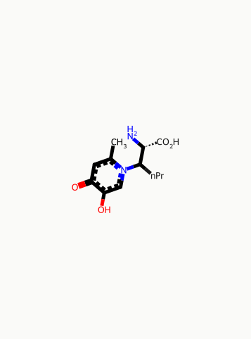 CCCC([C@H](N)C(=O)O)n1cc(O)c(=O)cc1C